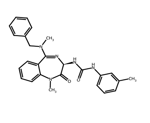 Cc1cccc(NC(=O)N[C@@H]2N=C(N(C)Cc3ccccc3)c3ccccc3N(C)C2=O)c1